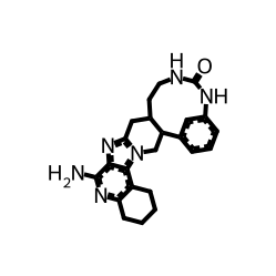 Nc1nc2c(c3c1nc1n3CC3c4cccc(c4)NC(=O)NCCC3C1)CCCC2